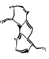 Cc1ccnc2c1cc1cc[nH]c(=O)n12